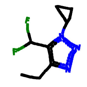 CCc1nnn(C2CC2)c1C(F)F